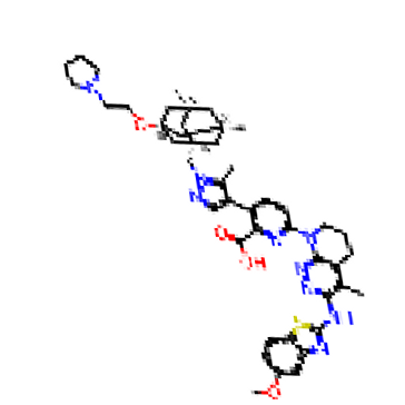 COc1ccc2sc(Nc3nnc4c(c3C)CCCN4c3ccc(-c4cnn(C[C@]56C[C@]7(C)C[C@](C)(C5)C[C@@](OCCN5CCCC5)(C7)C6)c4C)c(C(=O)O)n3)nc2c1